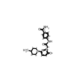 CC1CCN(c2ccc(=O)n(CC(=O)Nc3ccc(C(N)=O)cc3)n2)CC1